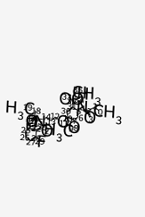 CCC(=O)Nc1cc(OC)c(OCCCN(C(=O)CC)C(=O)c2c(F)cccc2F)cc1C(=O)OC